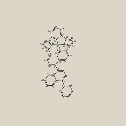 c1cncc(-c2ccc(-c3ccc4c5c(cccc35)C3(c5ccccc5-c5ccccc53)c3ccccc3-4)c3ccccc23)c1